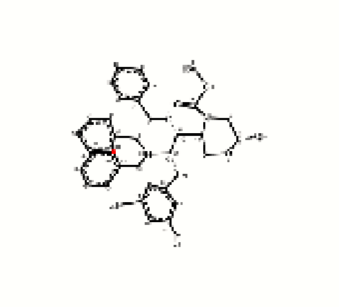 CC(C)(C)OC(=O)N1C[C@H](O)OCC1[C@@H](OCc1ccccc1)[C@H](Cc1cc(F)cc(F)c1)N(Cc1ccccc1)Cc1ccccc1